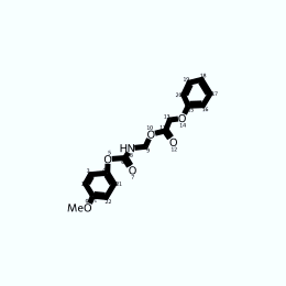 COc1ccc(OC(=O)NCOC(=O)COc2ccccc2)cc1